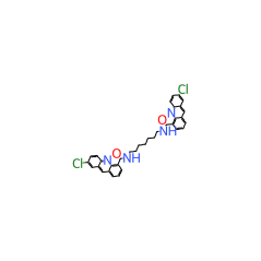 O=C(NCCCCCCCNC(=O)c1cccc2cc3cc(Cl)ccc3nc12)c1cccc2cc3cc(Cl)ccc3nc12